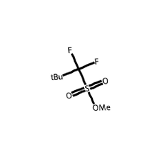 COS(=O)(=O)C(F)(F)C(C)(C)C